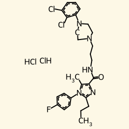 CCCc1nc(C(=O)NCCCN2CCN(c3cccc(Cl)c3Cl)CC2)c(C)n1-c1ccc(F)cc1.Cl.Cl